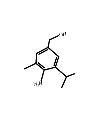 Cc1cc(CO)cc(C(C)C)c1N